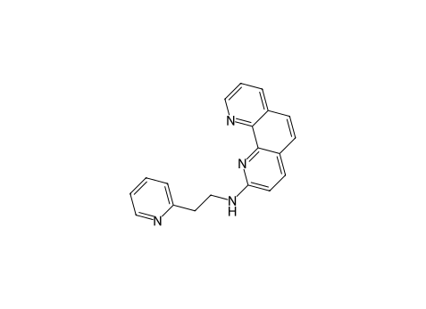 c1ccc(CCNc2ccc3ccc4cccnc4c3n2)nc1